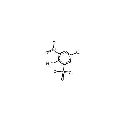 Cc1c([N+](=O)[O-])cc(Cl)cc1S(=O)(=O)Cl